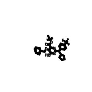 CC(C)(C)OC(=O)c1nc(C(c2ccc(C(F)(F)F)cc2)C2CCCC2)nc(O)c1OCc1ccccc1